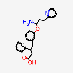 NC(CCc1ccccn1)Oc1cccc(CC(CC(=O)O)c2ccccc2)c1